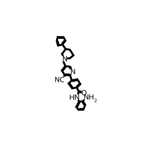 N#Cc1cc(CN2CCCC(c3ccccc3)C2)cnc1-c1ccc(C(=O)Nc2ccccc2N)cc1